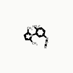 Cc1ccc(C)n1-c1cc(N=[N+]=[N-])ccc1C(=O)O